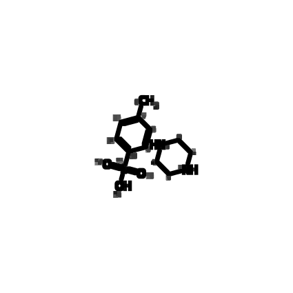 C1CNCCN1.Cc1ccc(S(=O)(=O)O)cc1